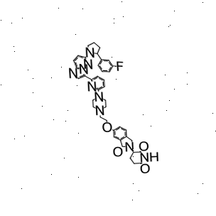 O=C1CCC(N2Cc3ccc(OCCN4CCN(c5cccc(-c6cnc7ccc(N8CCCC8c8cccc(F)c8)nn67)n5)CC4)cc3C2=O)C(=O)N1